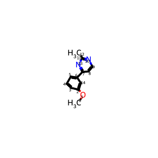 COc1cccc(-c2ccnc(C)n2)c1